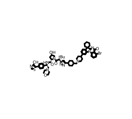 Cc1ncsc1-c1ccc([C@H](CN2CCOCC2)NC(=O)[C@@H]2C[C@@H](O)CN2C(=O)[C@@H](n2cc(C3CCC(CN4CCC(c5ccc6c(c5)-n5c(nc(=O)c7c(Br)cccc75)C65CCCCC5)CC4)CC3)nn2)C(C)(C)C)cc1